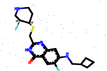 O=c1[nH]c(CS[C@H]2CCNC[C@H]2F)nc2cc(NCC3CCC3)c(F)cc12